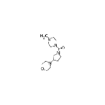 CN1CCN(C(=O)N2CCC(N3CCOCC3)C2)CC1